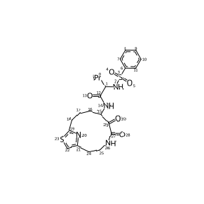 CC(C)C(NS(=O)(=O)c1ccccc1)C(=O)NC1CCCc2nc(cs2)CCNC(=O)C1=O